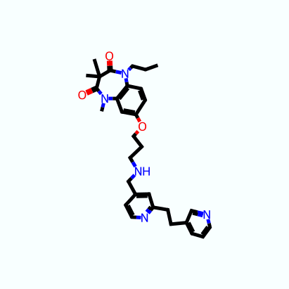 CCCN1C(=O)C(C)(C)C(=O)N(C)c2cc(OCCCNCc3ccnc(CCc4cccnc4)c3)ccc21